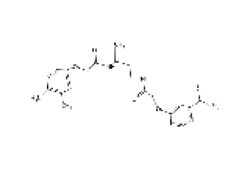 C=C(CCNC(=O)COc1ccnc(C(C)F)c1)NC(=O)COc1ccc(C)c(C)c1